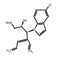 C=C/C=C(\C=C)[C@@H]([C@H](O)CNC)n1ccc2cc(Cl)ccc21